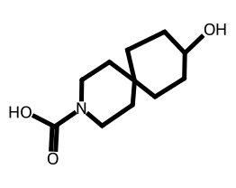 O=C(O)N1CCC2(CCC(O)CC2)CC1